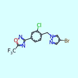 FC(F)(F)c1nc(-c2ccc(Cn3cc(Br)cn3)c(Cl)c2)no1